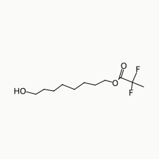 CC(F)(F)C(=O)OCCCCCCCCO